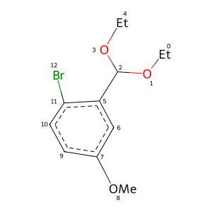 CCOC(OCC)c1cc(OC)ccc1Br